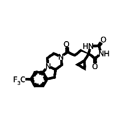 O=C1NC(=O)[C@](CCC(=O)N2CCN3c4cc(C(F)(F)F)ccc4CC3C2)(C2CC2)N1